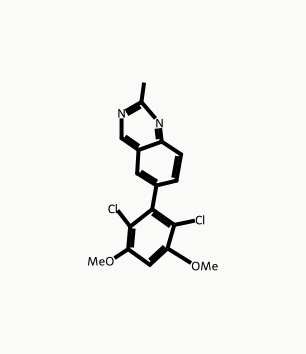 COc1cc(OC)c(Cl)c(-c2ccc3nc(C)ncc3c2)c1Cl